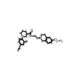 COc1ccc2c(c1)CCN(CCNC(=O)C1CCCN(c3ccc(C#N)cc3F)C1)C2